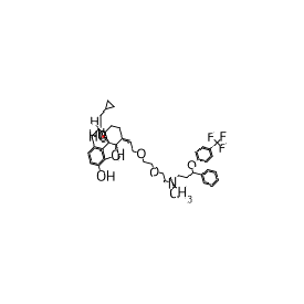 CN(CCOCCOC/C=C1/CC[C@@]2(O)[C@H]3Cc4ccc(O)c5c4[C@@]2(CCN3CC2CC2)[C@H]1O5)CCC(Oc1ccc(C(F)(F)F)cc1)c1ccccc1